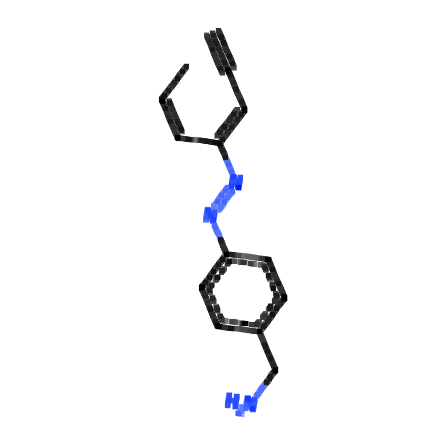 C#C/C=C(\C=C/C)/N=N/c1ccc(CN)cc1